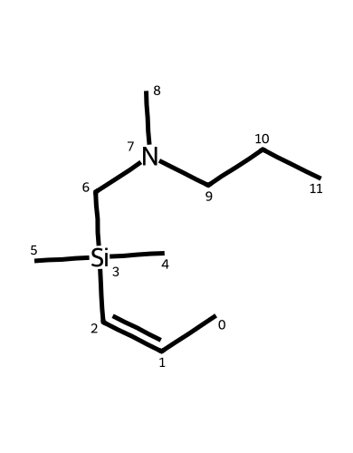 C/C=C\[Si](C)(C)CN(C)CCC